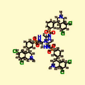 CC(NS(=O)(=O)c1cccc(C2CN(C)Cc3c(Cl)cc(Cl)cc32)c1)N(C(C)NS(=O)(=O)c1cccc(C2CN(C)Cc3c(Cl)cc(Cl)cc32)c1)C(C)NS(=O)(=O)c1cccc(C2CN(C)Cc3c(Cl)cc(Cl)cc32)c1